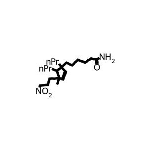 CCCC1C(C)(CCC[N+](=O)[O-])C=CC1(CCC)CCCCCC(N)=O